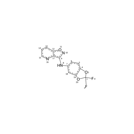 FC1(F)Oc2ccc(Nc3noc4cccnc34)cc2O1